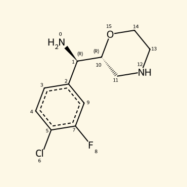 N[C@H](c1ccc(Cl)c(F)c1)[C@H]1CNCCO1